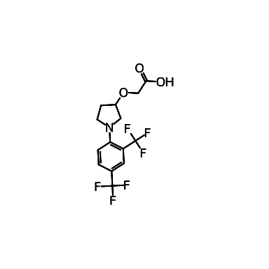 O=C(O)COC1CCN(c2ccc(C(F)(F)F)cc2C(F)(F)F)C1